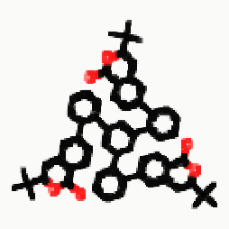 CC(C)(C)c1cc2cc(-c3ccccc3C3=CC(c4ccccc4-c4ccc5c(=O)oc(C(C)(C)C)cc5c4)CC(c4ccccc4-c4ccc5c(=O)oc(C(C)(C)C)cc5c4)=C3)ccc2c(=O)o1